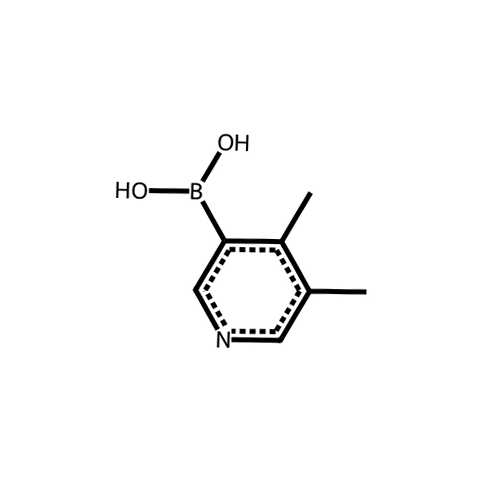 Cc1cncc(B(O)O)c1C